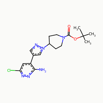 CC(C)(C)OC(=O)N1CCC(n2cc(-c3cc(Cl)nnc3N)cn2)CC1